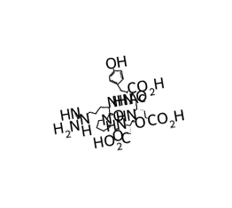 CC(=O)N[C@@H](CCCNC(=N)N)C(=O)N1CCC[C@H]1C(=O)N[C@@H](CC(=O)O)C(=O)N[C@@H](CCC(=O)O)C(=O)N[C@@H](Cc1ccc(O)cc1)C(=O)O